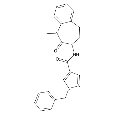 CN1C(=O)C(NC(=O)c2cnn(Cc3ccccc3)c2)CCc2ccccc21